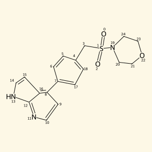 O=S(=O)(Cc1ccc(-c2ccnc3[nH]ccc23)cc1)N1CCOCC1